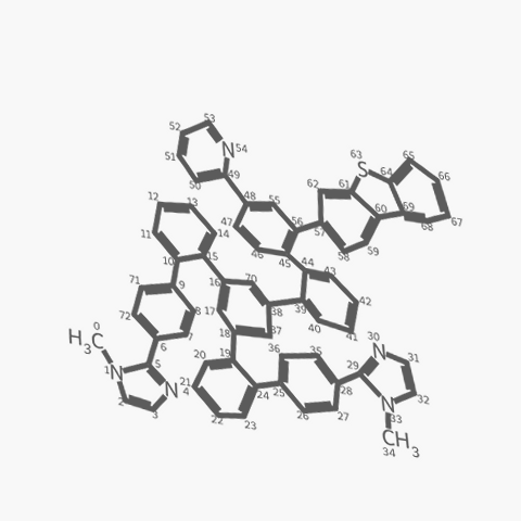 Cn1ccnc1-c1ccc(-c2ccccc2-c2cc(-c3ccccc3-c3ccc(-c4nccn4C)cc3)cc(-c3ccccc3-c3ccc(-c4ccccn4)cc3-c3ccc4c(c3)sc3ccccc34)c2)cc1